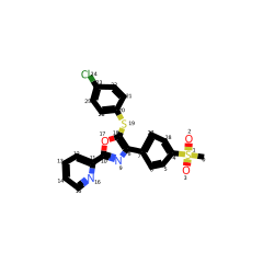 CS(=O)(=O)c1ccc(-c2nc(-c3ccccn3)oc2Sc2ccc(Cl)cc2)cc1